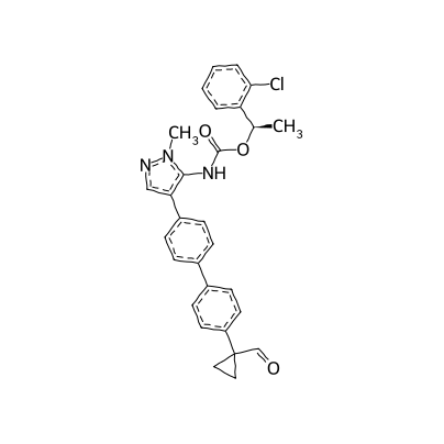 C[C@@H](OC(=O)Nc1c(-c2ccc(-c3ccc(C4(C=O)CC4)cc3)cc2)cnn1C)c1ccccc1Cl